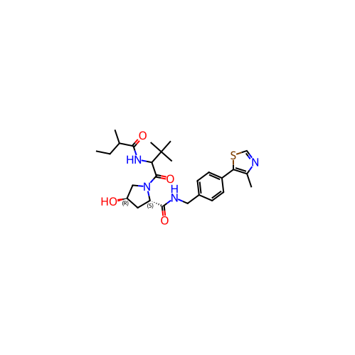 CCC(C)C(=O)NC(C(=O)N1C[C@H](O)C[C@H]1C(=O)NCc1ccc(-c2scnc2C)cc1)C(C)(C)C